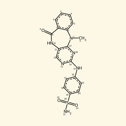 CN1c2ccccc2C(=O)Nc2cnc(Nc3ccc(S(N)(=O)=O)cc3)nc21